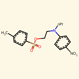 CCCN(CCOS(=O)(=O)c1ccc(C)cc1)c1ccc([N+](=O)[O-])cc1